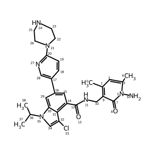 Cc1cc(C)n(N)c(=O)c1CNC(=O)c1cc(-c2ccc(N3CCNCC3)nc2)cc2c1c(Cl)cn2C(C)C